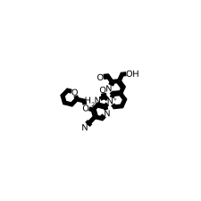 N#Cc1cnc([N+]2(C(N)=O)CCCc3cc(CO)c(C=O)nc32)cc1OCC1CCCCO1